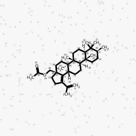 C=C(C)C1=C2[C@H]3CC[C@@H]4[C@@]5(C)CC[C@H](C)C(C)(C)[C@@H]5CC[C@@]4(C)[C@]3(C)CC[C@@]2(COC(C)=O)CC1